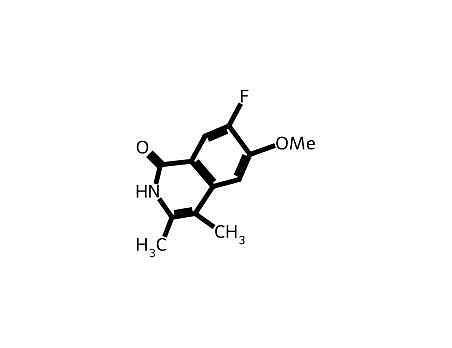 COc1cc2c(C)c(C)[nH]c(=O)c2cc1F